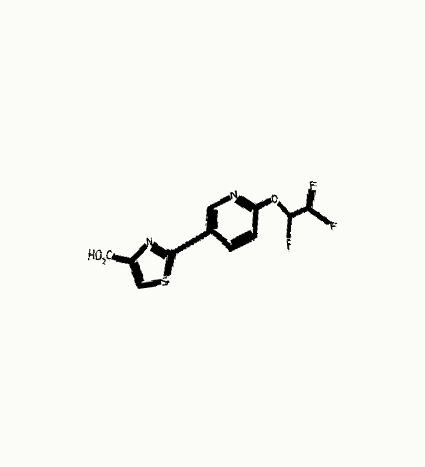 O=C(O)c1csc(-c2ccc(OC(F)C(F)F)nc2)n1